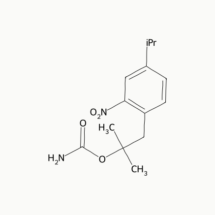 CC(C)c1ccc(CC(C)(C)OC(N)=O)c([N+](=O)[O-])c1